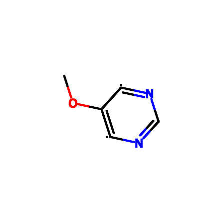 COc1[c]ncn[c]1